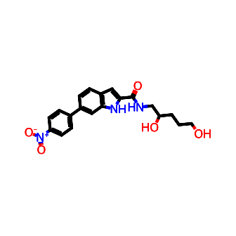 O=C(NCC(O)CCCO)c1cc2ccc(-c3ccc([N+](=O)[O-])cc3)cc2[nH]1